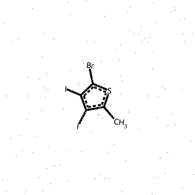 Cc1sc(Br)c(I)c1I